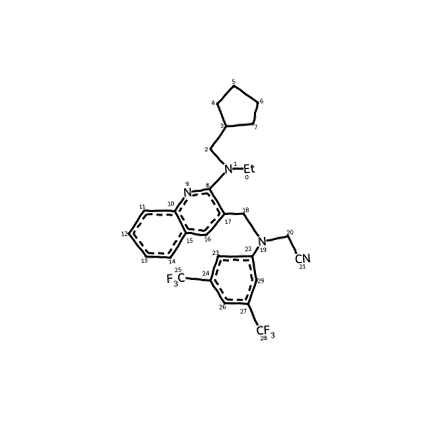 CCN(CC1CCCC1)c1nc2ccccc2cc1CN(CC#N)c1cc(C(F)(F)F)cc(C(F)(F)F)c1